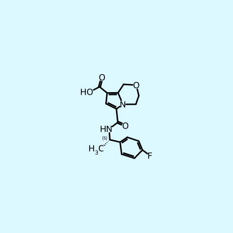 C[C@H](NC(=O)c1cc(C(=O)O)c2n1CCOC2)c1ccc(F)cc1